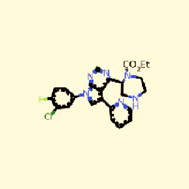 CCOC(=O)N1CCNCC1c1ncnc2c1c(-c1ccccn1)cn2-c1ccc(F)c(Cl)c1